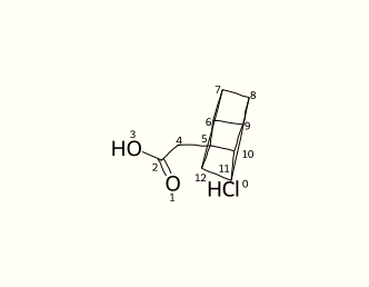 Cl.O=C(O)CC12C3C4C5C3C1C5C42